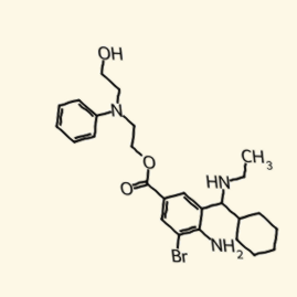 CCNC(c1cc(C(=O)OCCN(CCO)c2ccccc2)cc(Br)c1N)C1CCCCC1